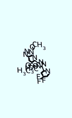 CCS(=O)(=O)c1cc2nnn(COC)c2nc1-c1nnc(-c2cc(C(F)(F)F)ccn2)n1C